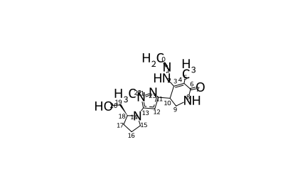 C=NNC1=C(C)C(=O)NCC1c1cc(N2CCC[C@H]2CO)n(C)n1